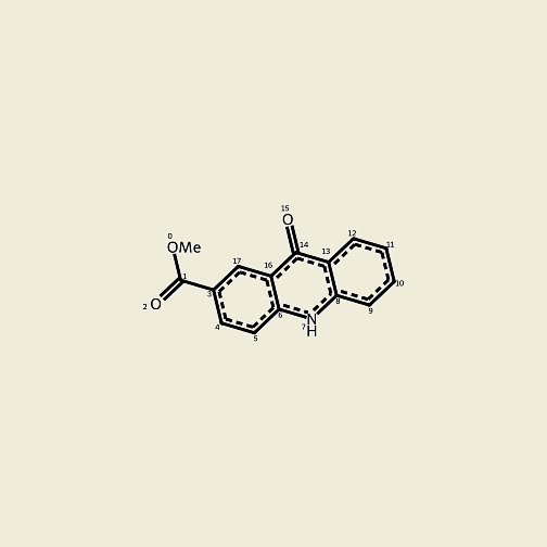 COC(=O)c1ccc2[nH]c3ccccc3c(=O)c2c1